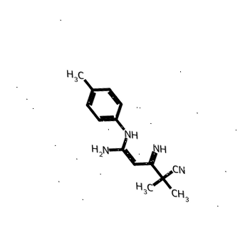 Cc1ccc(N/C(N)=C\C(=N)C(C)(C)C#N)cc1